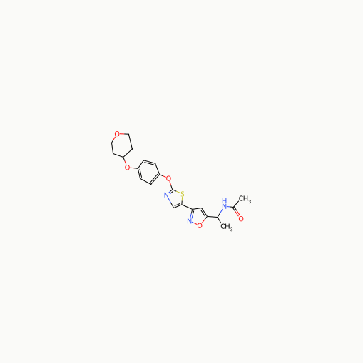 CC(=O)NC(C)c1cc(-c2cnc(Oc3ccc(OC4CCOCC4)cc3)s2)no1